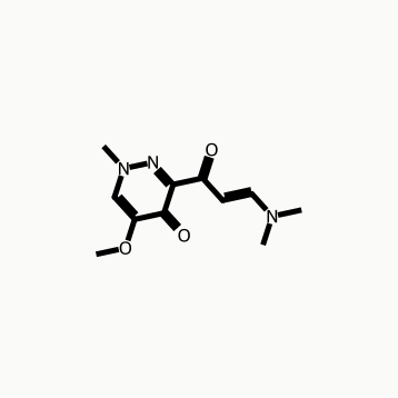 COc1cn(C)nc(C(=O)C=CN(C)C)c1=O